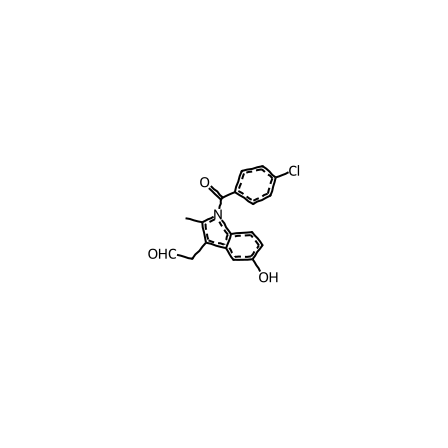 Cc1c(CC=O)c2cc(O)ccc2n1C(=O)c1ccc(Cl)cc1